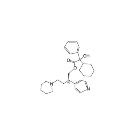 O=C(OC[C@H](CCN1CCCCC1)c1ccncc1)C(O)(c1ccccc1)C1CCCCC1